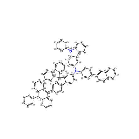 c1ccc(-c2c3ccccc3c(-c3ccc4c(c3)C(c3ccccc3)(c3ccccc3)c3cc(N(c5ccc(-c6ccc7ccccc7c6)cc5)c5ccc6c(c5)c5ccccc5n6-c5ccccc5)ccc3-4)c3ccccc23)cc1